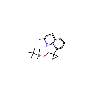 Cc1ccc2cccc(C3(CO[Si](C)(C)C(C)(C)C)CC3)c2n1